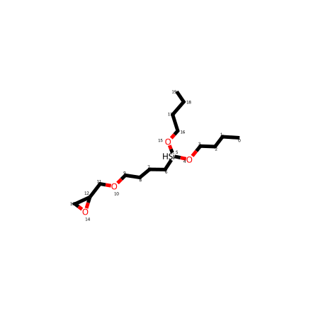 CCCCO[SiH](CCCCOCC1CO1)OCCCC